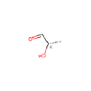 C[C@H](O)C=O